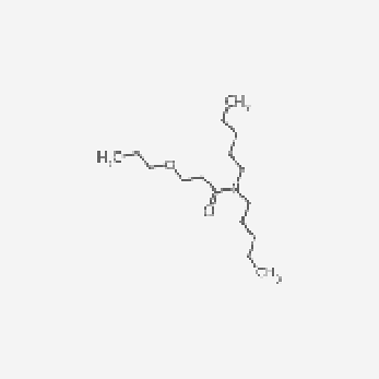 CCCCCN(CCCCC)C(=O)CCOCCC